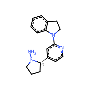 NN1CCC[C@H]1c1ccnc(N2CCc3ccccc32)c1